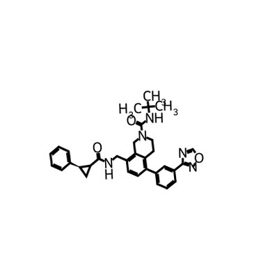 CC(C)(C)NC(=O)N1CCc2c(-c3cccc(-c4ncon4)c3)ccc(CNC(=O)C3C[C@H]3c3ccccc3)c2C1